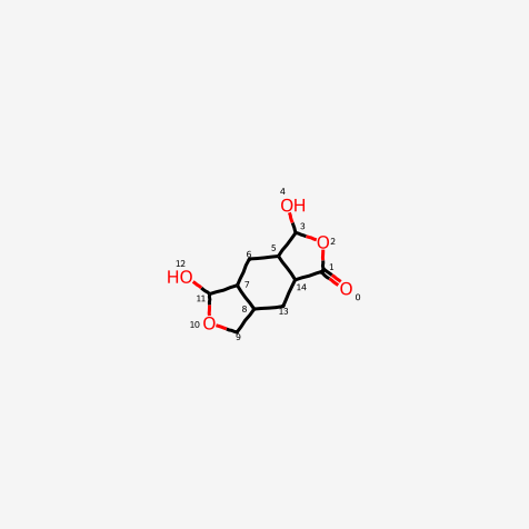 O=C1OC(O)C2CC3C(COC3O)CC12